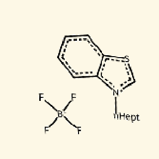 CCCCCCC[n+]1csc2ccccc21.F[B-](F)(F)F